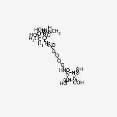 CCNC(=O)c1nnc(-c2cc(C(C)C)c(O)cc2O)n1-c1ccc(CN2CCN(C(=O)CCOCCOCCOCCOCCNC(=O)CN3CCN(CC(=O)O)CCN(CC(=O)O)CCN(CC(=O)O)CC3)CC2)cc1